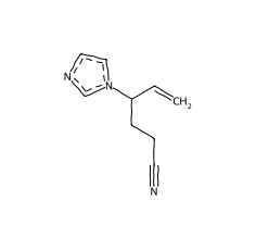 C=CC(CCC#N)n1ccnc1